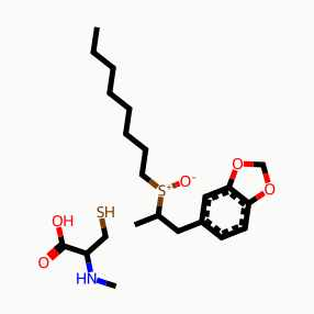 CCCCCCCC[S+]([O-])C(C)Cc1ccc2c(c1)OCO2.CNC(CS)C(=O)O